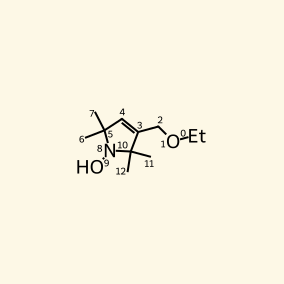 CCOCC1=CC(C)(C)N(O)C1(C)C